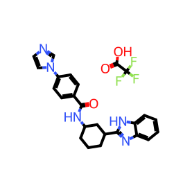 O=C(NC1CCCC(c2nc3ccccc3[nH]2)C1)c1ccc(-n2ccnc2)cc1.O=C(O)C(F)(F)F